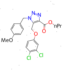 CCCOC(=O)c1nnn(Cc2ccc(OC)cc2)c1COc1ccc(Cl)c(Cl)c1